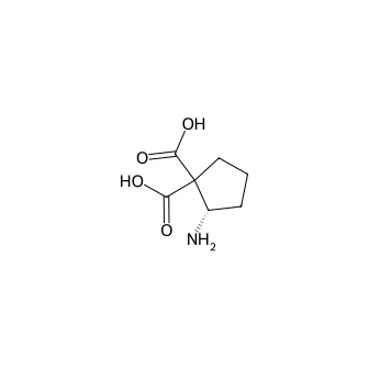 N[C@H]1CCCC1(C(=O)O)C(=O)O